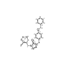 NCC(Cn1ncn(Cc2ccc(OCc3ccccc3)cc2)c1=O)=C(F)F